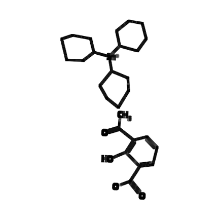 C1CC[CH]([Sn+]([CH]2CCCCC2)[CH]2CCCCC2)CC1.CC(=O)c1cccc(C(=O)[O-])c1O